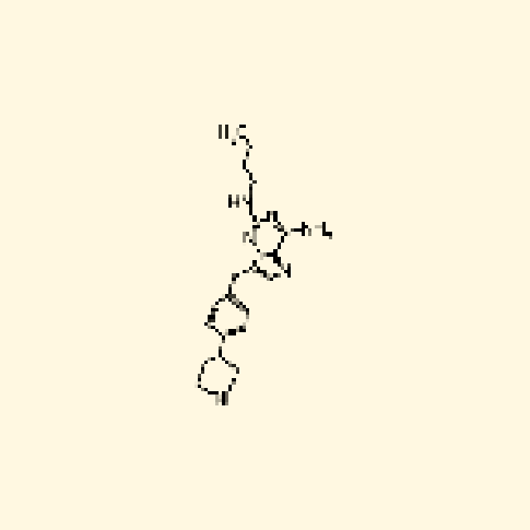 CCCCNc1nc(N)c2ncc(Cc3ccc(C4CCNCC4)cc3)n2n1